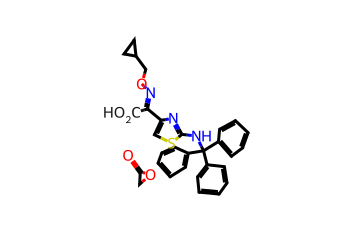 O=C(O)C(=NOCC1CC1)c1csc(NC(c2ccccc2)(c2ccccc2)c2ccccc2)n1.O=C1CO1